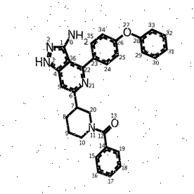 Nc1n[nH]c2cc(C3CCCN(C(=O)c4ccccc4)C3)nc(-c3ccc(Oc4ccccc4)cc3)c12